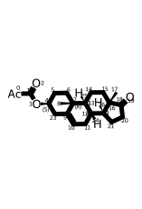 CC(=O)C(=O)O[C@H]1CC[C@@]2(C)C(=CC[C@@H]3[C@@H]2CC[C@]2(C)C(=O)CC[C@@H]32)C1